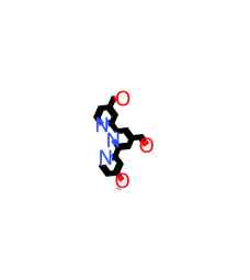 COc1ccnc(-c2cc(C=O)cc(-c3cc(C=O)ccn3)n2)c1